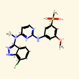 COc1cc(Nc2nccc(N(C)c3n[nH]c4c(F)cccc34)n2)cc(S(C)(=O)=O)c1